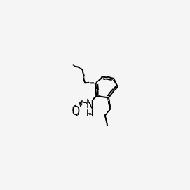 CCCc1cccc(CCC)c1NC=O